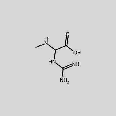 CNC(NC(=N)N)C(=O)O